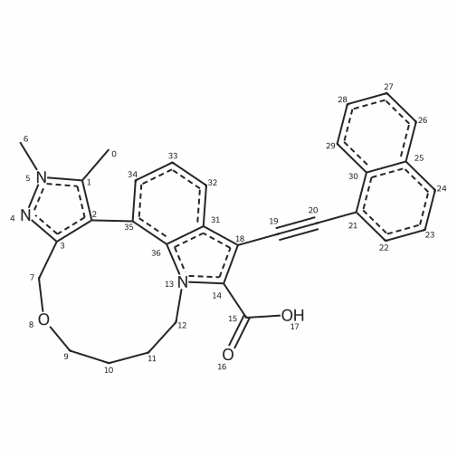 Cc1c2c(nn1C)COCCCCn1c(C(=O)O)c(C#Cc3cccc4ccccc34)c3cccc-2c31